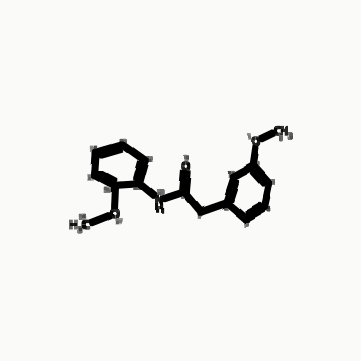 COc1cccc(CC(=O)Nc2ccccc2OC)c1